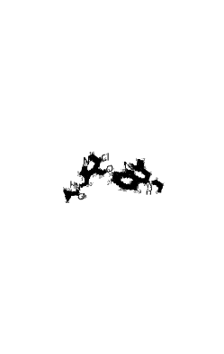 C/C=C\Nc1cc(C)nc2c(OCc3c(Cl)cncc3CNC(=O)C3CC3)cccc12